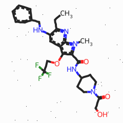 CCc1nc2c(cc1NCc1ccccc1)c(OCC(F)(F)F)c(C(=O)NC1CCN(C(=O)CO)CC1)n2C